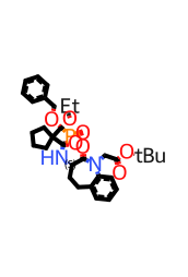 CCOC(OCc1ccccc1)(P=O)C1(C(=O)N[C@H]2CCc3ccccc3N(CC(=O)OC(C)(C)C)C2=O)CCCC1